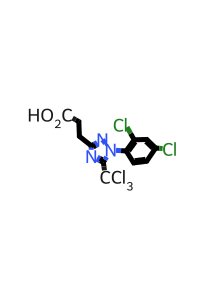 O=C(O)CCc1nc(C(Cl)(Cl)Cl)n(-c2ccc(Cl)cc2Cl)n1